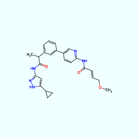 COCC=CC(=O)Nc1ccc(-c2cccc(C(C)C(=O)Nc3cc(C4CC4)[nH]n3)c2)cn1